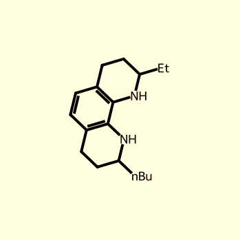 CCCCC1CCc2ccc3c(c2N1)NC(CC)CC3